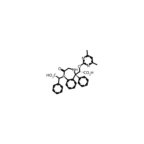 Cc1cc(C)nc(O[C@H](C(=O)O)[C@@]2(c3ccccc3)NCC(=O)N(C(C(=O)O)c3ccccc3)c3ccccc32)n1